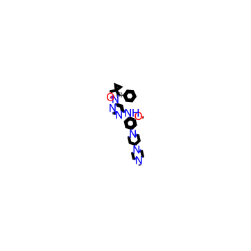 COc1cc(N2CCC(N3CCN(C)CC3)CC2)ccc1Nc1cc(N2OCC3(CC3)[C@@H]2c2ccccc2)ncn1